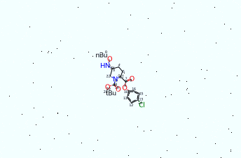 CCCCON[C@@H]1CC[C@@H](C(=O)Oc2ccc(Cl)cc2)N(C(=O)OC(C)(C)C)C1